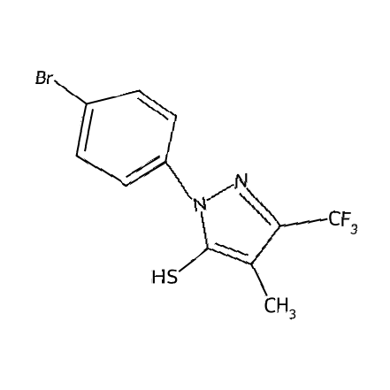 Cc1c(C(F)(F)F)nn(-c2ccc(Br)cc2)c1S